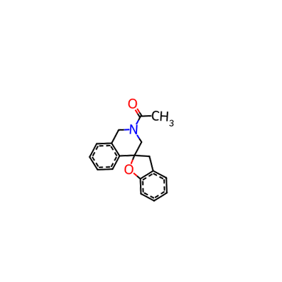 CC(=O)N1Cc2ccccc2C2(Cc3ccccc3O2)C1